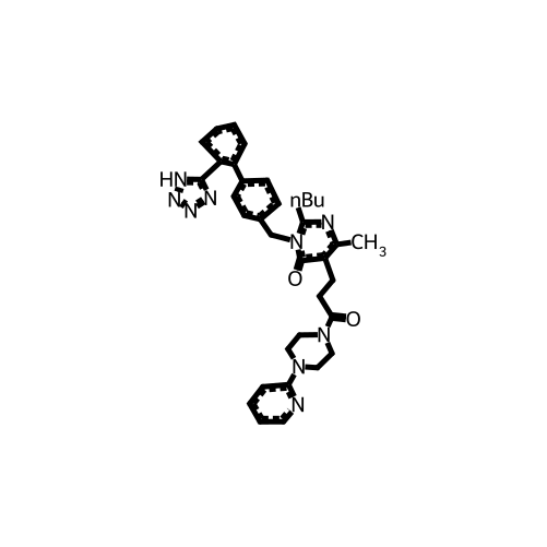 CCCCc1nc(C)c(CCC(=O)N2CCN(c3ccccn3)CC2)c(=O)n1Cc1ccc(-c2ccccc2-c2nnn[nH]2)cc1